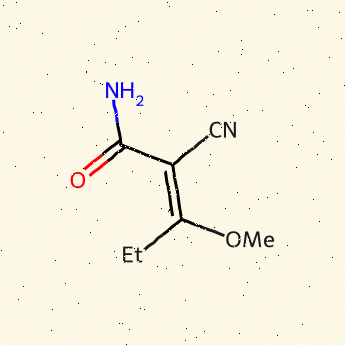 CCC(OC)=C(C#N)C(N)=O